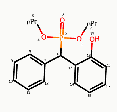 CCCOP(=O)(OCCC)C(c1ccccc1)c1ccccc1O